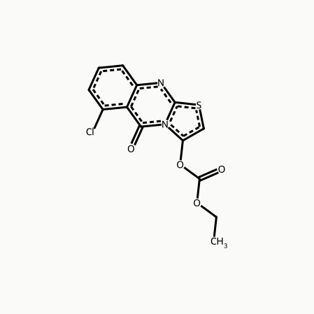 CCOC(=O)Oc1csc2nc3cccc(Cl)c3c(=O)n12